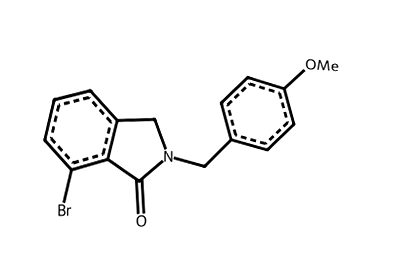 COc1ccc(CN2Cc3cccc(Br)c3C2=O)cc1